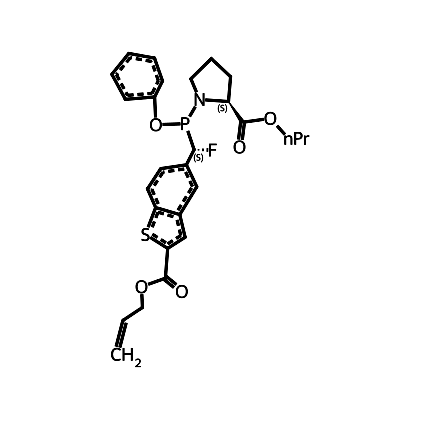 C=CCOC(=O)c1cc2cc([C@@H](F)P(Oc3ccccc3)N3CCC[C@H]3C(=O)OCCC)ccc2s1